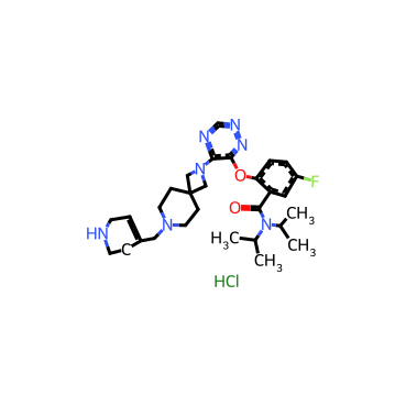 CC(C)N(C(=O)c1cc(F)ccc1Oc1nncnc1N1CC2(CCN(CC3=CCNCC3)CC2)C1)C(C)C.Cl